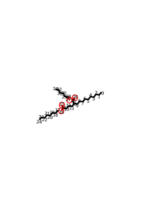 CCCCCCCCCCC(CCCC(=O)OCCCCCCCC)C(=O)OCCCCCC